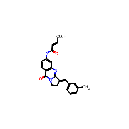 Cc1cccc(C=C2CCn3c2nc2cc(NC(=O)C=CC(=O)O)ccc2c3=O)c1